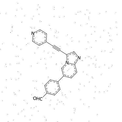 O=Cc1ccc(-c2ccc3ncc(C#Cc4ccncc4)n3c2)cc1